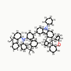 CC1(C)c2ccccc2-c2c(N(c3ccc(-c4ccc5c(c4)c4c6c(ccc4n5-c4ccccc4)C4(c5ccccc5Oc5ccccc54)c4ccccc4-6)cc3)c3cccc4c3-c3ccccc3C4(C)C)cccc21